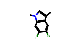 Cc1cn(C)c2cc(F)c(Br)cc12